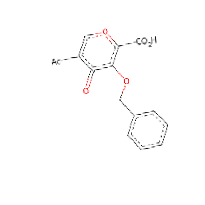 CC(=O)c1coc(C(=O)O)c(OCc2ccccc2)c1=O